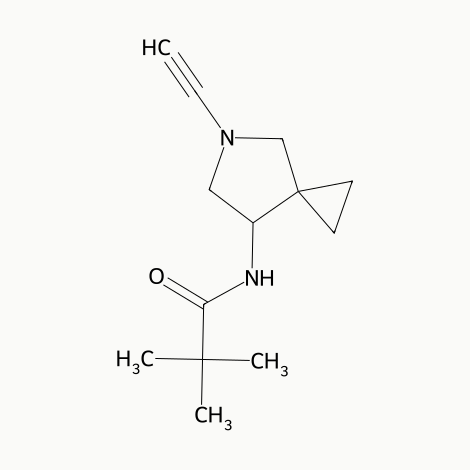 C#CN1CC(NC(=O)C(C)(C)C)C2(CC2)C1